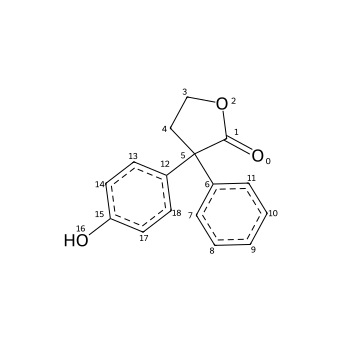 O=C1OCCC1(c1ccccc1)c1ccc(O)cc1